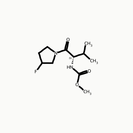 COC(=O)N[C@H](C(=O)N1CCC(F)C1)C(C)C